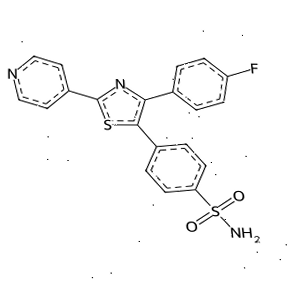 NS(=O)(=O)c1ccc(-c2sc(-c3ccncc3)nc2-c2ccc(F)cc2)cc1